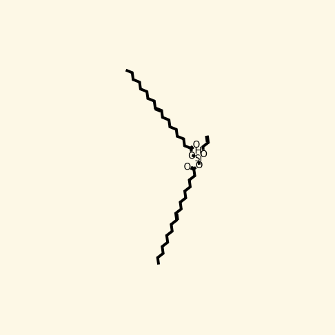 C=CCO[SiH](OC(=O)CCCCCCCC=CCCCCCCCC)OC(=O)CCCCCCCC=CCCCCCCCC